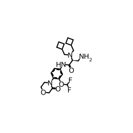 NC[C@@H](C(=O)Nc1ccc(N2CCOCC2=O)c(OC(F)F)c1)N(CC1CCC1)CC1CCC1